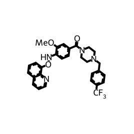 COc1cc(C(=O)N2CCN(Cc3ccc(C(F)(F)F)cc3)CC2)ccc1NOc1cccc2cccnc12